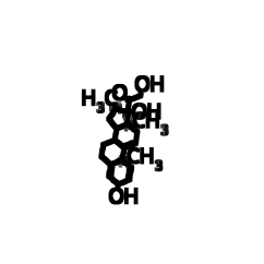 C[C@@H]1CC2C3CCC4=CC(O)C=C[C@]4(C)C3=CC[C@]2(C)[C@@]1(O)C(=O)CO